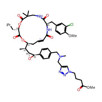 COC(=O)CCCn1cc(CN(C)Cc2ccc([C@H]3O[C@@H]3[C@@H](C)[C@@H]3C/C=C/C(=O)N[C@H](Cc4ccc(OC)c(Cl)c4)C(=O)NCC(C)(C)C(=O)O[C@@H](CC(C)C)C(=O)O3)cc2)nn1